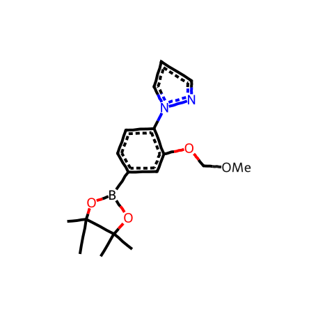 COCOc1cc(B2OC(C)(C)C(C)(C)O2)ccc1-n1cccn1